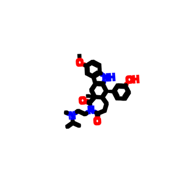 COc1ccc2[nH]c3c(c2c1)C[C@@]1(C)C(=O)N(CCN(C)C(C)C)C(=O)CCC1[C@@H]3c1cccc(O)c1